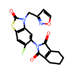 O=C1C2=C(CCCC2)C(=O)N1c1cc2c(cc1F)sc(=O)n2Cc1ccon1